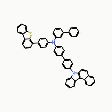 c1ccc(-c2cccc(N(c3ccc(-c4ccc(-n5c6ccccc6c6c7ccccc7ccc65)cc4)cc3)c3ccc(-c4cccc5c4sc4ccccc45)cc3)c2)cc1